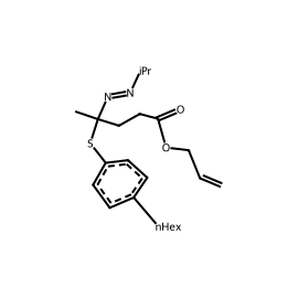 C=CCOC(=O)CCC(C)(N=NC(C)C)Sc1ccc(CCCCCC)cc1